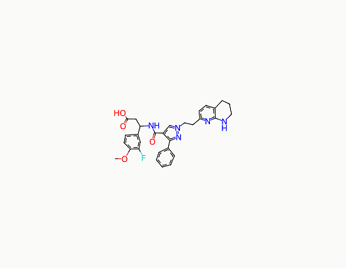 COc1ccc(C(CC(=O)O)NC(=O)c2cn(CCc3ccc4c(n3)NCCC4)nc2-c2ccccc2)cc1F